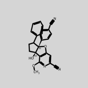 COc1nc(C#N)cc2c1[C@]1(O)CCC(c3ccccc3)[C@]1(c1ccc(C#N)cc1)O2